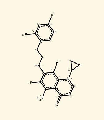 Nc1c(F)c(NCCc2ccc(F)cc2F)c(F)c2c1c(=O)ccn2C1CC1